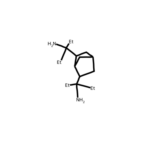 CCC(N)(CC)C1CC2CC1C(C(N)(CC)CC)C2